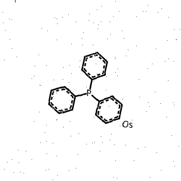 [Os].c1ccc(P(c2ccccc2)c2ccccc2)cc1